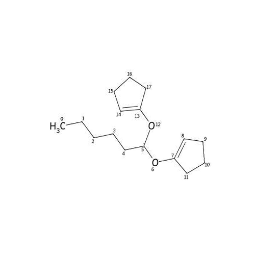 CCCCC[C](OC1=CCCC1)OC1=CCCC1